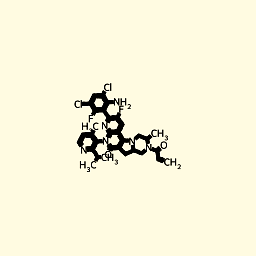 C=CC(=O)N1CC2Cc3c(c4cc(F)c(-c5c(N)c(Cl)cc(Cl)c5F)nc4n(-c4c(C)ccnc4C(C)C)c3=O)N2CC1C